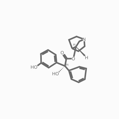 O=C(O[C@H]1CN2CCC1CC2)[C@@](O)(c1ccccc1)c1cccc(O)c1